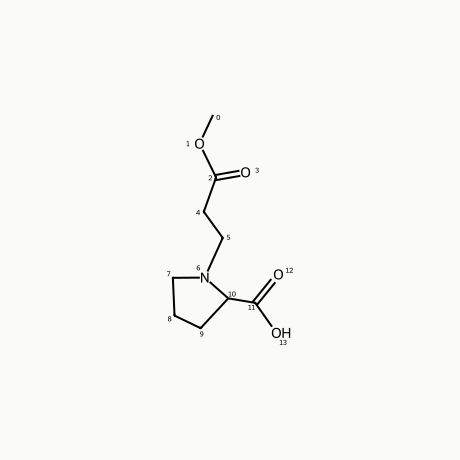 COC(=O)CCN1CCCC1C(=O)O